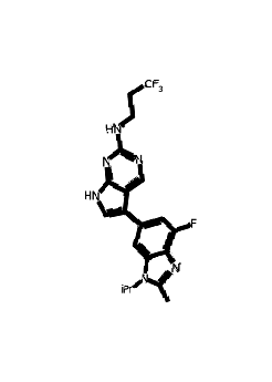 Cc1nc2c(F)cc(-c3c[nH]c4nc(NCCC(F)(F)F)ncc34)cc2n1C(C)C